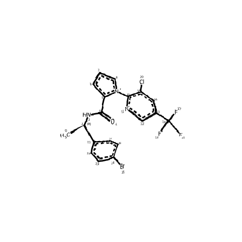 C[C@@H](NC(=O)c1cccn1-c1ncc(C(F)(F)F)cc1Cl)c1ccc(Br)cc1